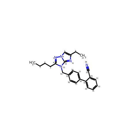 CCCCc1nn2cc(CC)nc2n1Cc1ccc(-c2ccccc2C#N)cc1